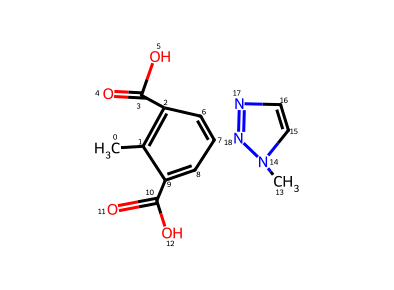 Cc1c(C(=O)O)cccc1C(=O)O.Cn1ccnn1